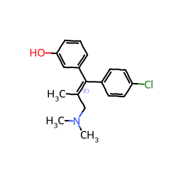 C/C(CN(C)C)=C(/c1ccc(Cl)cc1)c1cccc(O)c1